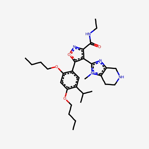 CCCCOc1cc(OCCCC)c(C(C)C)cc1-c1onc(C(=O)NCC)c1-c1nc2c(n1C)CCNC2